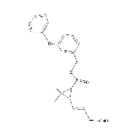 CC1(C)C(C=CCC=O)C1C(=O)OCc1cccc(Oc2ccccc2)c1